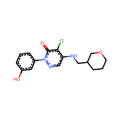 O=c1c(Cl)c(NCC2CCCOC2)cnn1-c1cccc(O)c1